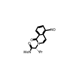 CNC(=O)[C@@H](C(C)C)n1ccc2c(N=O)cccc2c1=O